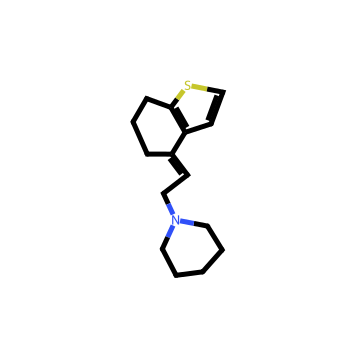 C(/CN1CCCCC1)=C1/CCCc2sccc21